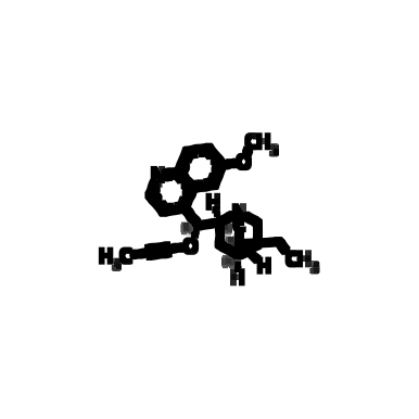 CC#CO[C@H](c1ccnc2ccc(OC)cc12)[C@@H]1C[C@@H]2CCN1C[C@@H]2CC